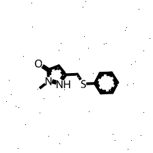 Cn1[nH]c(CSc2ccccc2)cc1=O